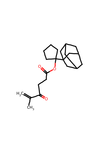 C=C(C)C(=O)CCC(=O)OC1(C23CC4CC(CC(C4)C2)C3)CCCC1